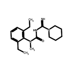 CCc1cccc(CC)c1N(C)C(=O)NC(=N)N1CCCCC1